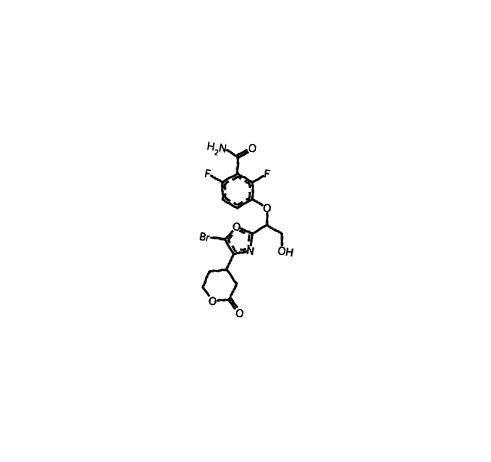 NC(=O)c1c(F)ccc(OC(CO)c2nc(C3CCOC(=O)C3)c(Br)o2)c1F